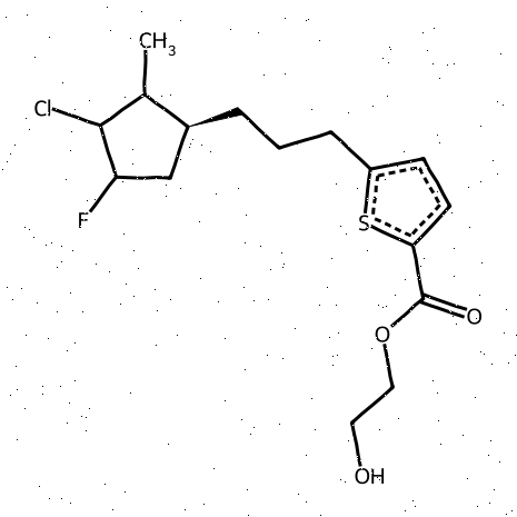 CC1C(Cl)C(F)C[C@@H]1CCCc1ccc(C(=O)OCCO)s1